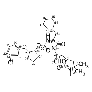 CC1(C)CC(C[C@@H](C=O)NC(=O)[C@H](CC2CCCCC2)NC(=O)OC2CCCC2Cc2cccc(Cl)c2)C(=O)N1